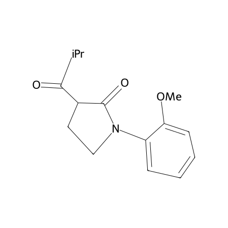 COc1ccccc1N1CCC(C(=O)C(C)C)C1=O